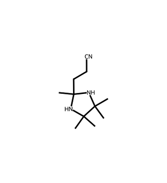 CC1(CCC#N)NC(C)(C)C(C)(C)N1